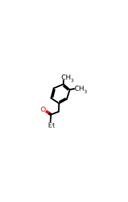 CCC(=O)Cc1ccc(C)c(C)c1